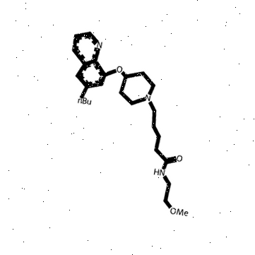 CCCCc1cc(OC2CCN(CCCCC(=O)NCCOC)CC2)c2ncccc2c1